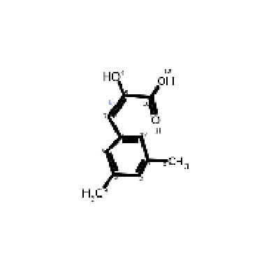 Cc1cc(C)cc(/C=C(/O)C(=O)O)c1